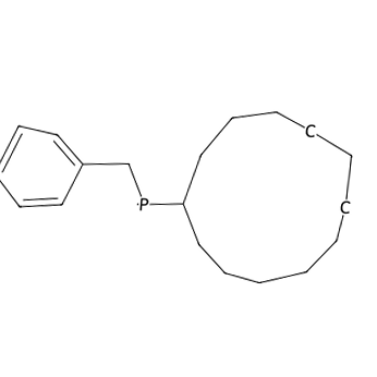 c1ccc(C[P]C2CCCCCCCCCCC2)cc1